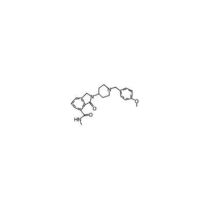 CNC(=O)c1cccc2c1C(=O)N(C1CCN(Cc3ccc(OC)cc3)CC1)C2